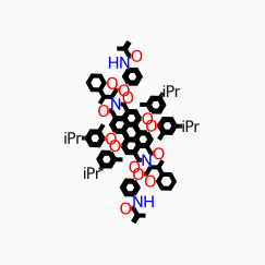 C=C(C)C(=O)Nc1cccc(OC(=O)C(C(C)C2CCCCC2)N2C(=O)c3cc(Oc4ccc(C(C)C)cc4C)c4c5c(Oc6ccc(C(C)C)cc6C)cc6c7c(cc(Oc8ccc(C(C)C)cc8C)c(c8c(Oc9ccc(C(C)C)cc9C)cc(c3c48)C2=O)c75)C(=O)N(C(C(=O)Oc2cccc(NC(=O)C(=C)C)c2)C(C)C2CCCCC2)C6=O)c1